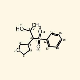 CC(O)C(C1CCOC1)S(=O)(=O)c1ccccc1